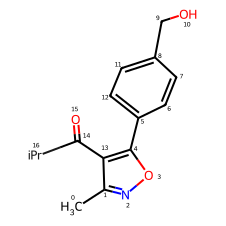 Cc1noc(-c2ccc(CO)cc2)c1C(=O)C(C)C